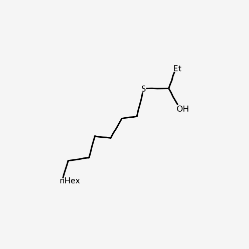 CCCCCCCCCCCCSC(O)CC